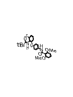 COc1cccc(OC)c1C(=O)Nc1ccc(Oc2cccc(F)c2NC(=O)C(C)(C)C)cc1